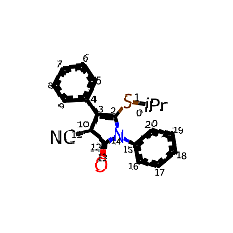 CC(C)SC1=C(c2ccccc2)C(C#N)C(=O)N1c1ccccc1